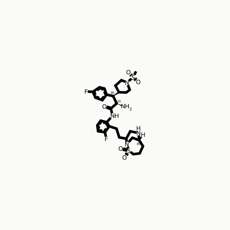 CS(=O)(=O)N1CCC([C@H](c2ccc(F)cc2)[C@H](N)C(=O)Nc2cccc(F)c2CCC2CN[C@@H]3CCCS(=O)(=O)N2C3)CC1